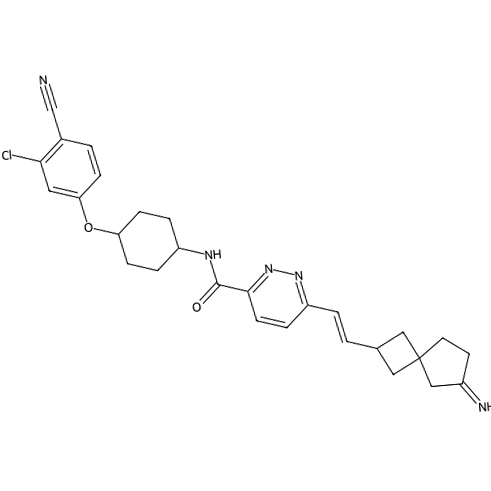 N#Cc1ccc(OC2CCC(NC(=O)c3ccc(/C=C/C4CC5(CCC(=N)C5)C4)nn3)CC2)cc1Cl